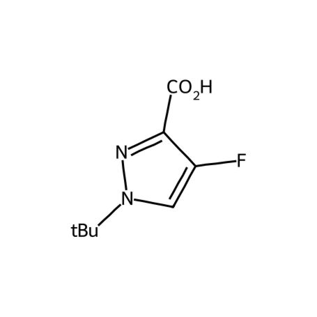 CC(C)(C)n1cc(F)c(C(=O)O)n1